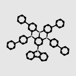 c1ccc(-c2ccc(N3c4cc(-c5ccccc5)ccc4B4c5ccc(-c6ccccc6)cc5N(c5ccc(-c6ccccc6)cc5)c5cc(-n6c7ccccc7c7ccccc76)cc3c54)cc2)cc1